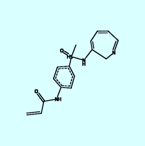 C=CC(=O)Nc1ccc([SH](C)(=O)NC2=CC=CC=NC2)cc1